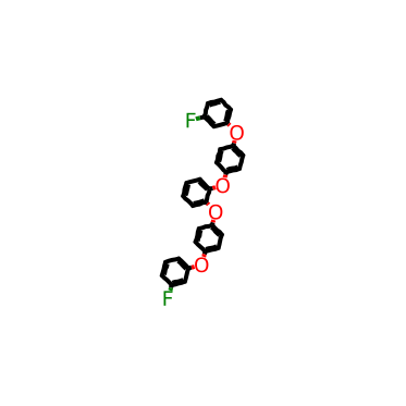 Fc1cccc(Oc2ccc(Oc3ccccc3Oc3ccc(Oc4cccc(F)c4)cc3)cc2)c1